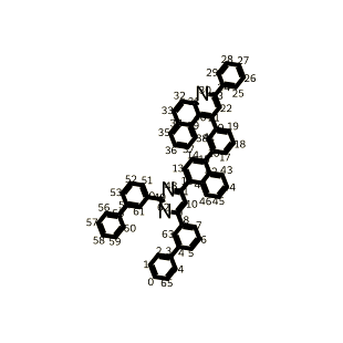 c1ccc(-c2cccc(-c3cc(-c4ccc(-c5cccc(-c6cc(-c7ccccc7)nc7ccc8ccccc8c67)c5)c5ccccc45)nc(-c4cccc(-c5ccccc5)c4)n3)c2)cc1